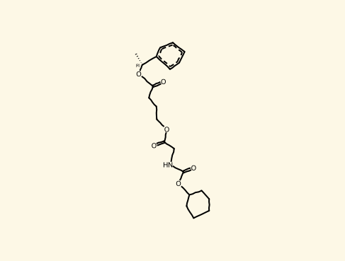 C[C@@H](OC(=O)CCCOC(=O)CNC(=O)OC1CCCCC1)c1ccccc1